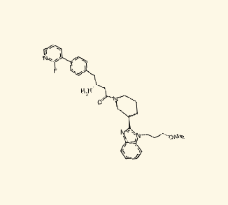 COCCCn1c([C@@H]2CCCN(C(=O)C[C@H](N)Cc3ccc(-c4cccnc4F)cc3)C2)nc2ccccc21